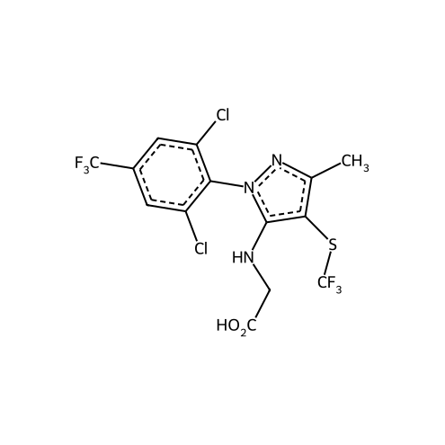 Cc1nn(-c2c(Cl)cc(C(F)(F)F)cc2Cl)c(NCC(=O)O)c1SC(F)(F)F